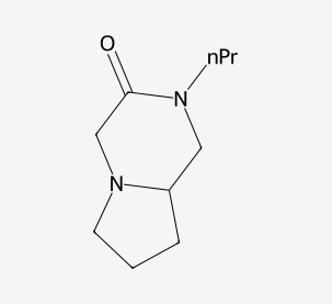 CCCN1CC2CCCN2CC1=O